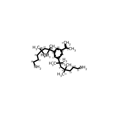 C=C(C)c1cc(C(C)(C)CC(C)(C)CCCN)cc(C(C)(C)CC(C)(C)CCCN)c1